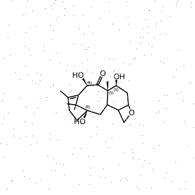 CC1=C2[C@@H](O)C(=O)[C@@]3(C)C(C[C@](O)(CC1)C2(C)C)C1COC1C[C@@H]3O